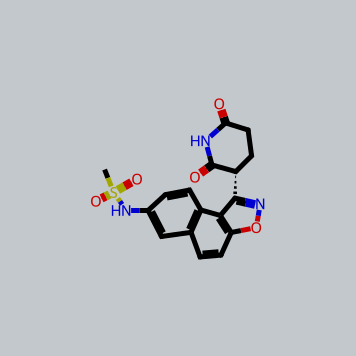 CS(=O)(=O)Nc1ccc2c(ccc3onc([C@H]4CCC(=O)NC4=O)c32)c1